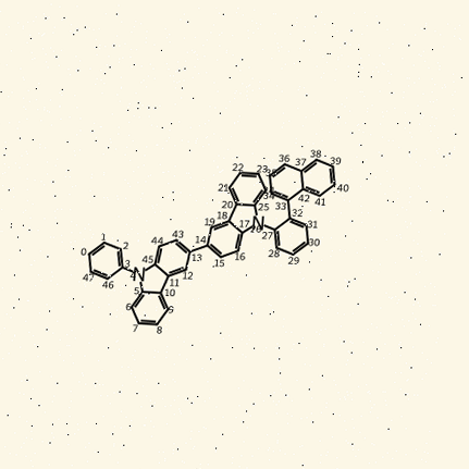 c1ccc(-n2c3ccccc3c3cc(-c4ccc5c(c4)c4ccccc4n5-c4ccccc4-c4cccc5ccccc45)ccc32)cc1